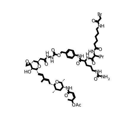 CC(=O)OC(C)/C=C\C(=O)N[C@@H]1C[C@H](C)[C@H](C/C=C(C)/C=C/[C@H]2O[C@H](CC(=O)NNC(=O)OCc3ccc(NC(=O)C(CCCNC(N)=O)NC(=O)C(NC(=O)CCCCCNC(=O)CBr)C(C)C)cc3)C[C@@]3(CO3)[C@@H]2O)O[C@@H]1C